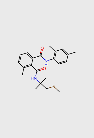 CSCC(C)(C)NC(=O)c1c(C)cccc1C(=O)Nc1ccc(C)cc1C